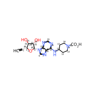 C#C[C@H]1O[C@@H](n2cnc3c(NC4CCN(C(=O)O)CC4)ncnc32)[C@@H](O)[C@@H]1O